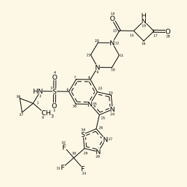 CC1(NS(=O)(=O)c2cc(N3CCN(C(=O)C4CC(=O)N4)CC3)c3cnc(-c4nnc(C(F)(F)F)s4)n3c2)CC1